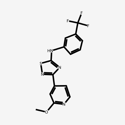 COc1cc(-c2nsc(Nc3cccc(C(F)(F)F)c3)n2)ccn1